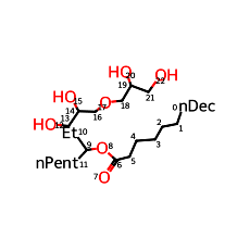 CCCCCCCCCCCCCCCC(=O)OC(CC)CCCCC.OCC(O)COCC(O)CO